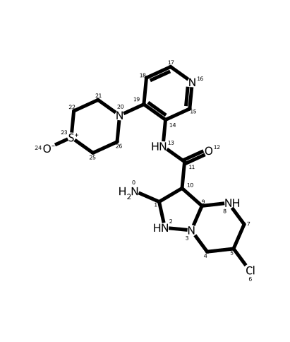 NC1NN2CC(Cl)CNC2C1C(=O)Nc1cnccc1N1CC[S+]([O-])CC1